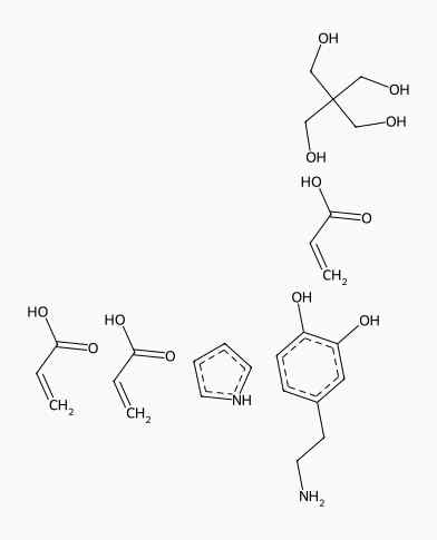 C=CC(=O)O.C=CC(=O)O.C=CC(=O)O.NCCc1ccc(O)c(O)c1.OCC(CO)(CO)CO.c1cc[nH]c1